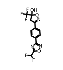 OC1(C(F)(F)F)CC(c2ccc(-c3noc(C(F)F)n3)cc2)=NO1